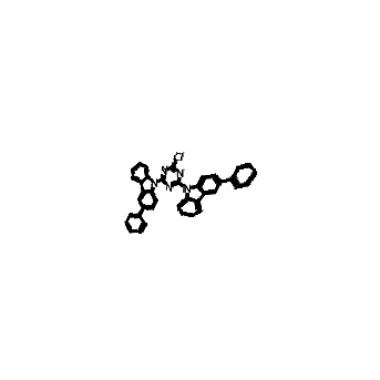 Clc1nc(-n2c3ccccc3c3cc(-c4ccccc4)ccc32)nc(-n2c3ccccc3c3cc(-c4ccccc4)ccc32)n1